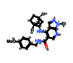 CCn1ncc2c(N[C@@H]3C[C@@H]4CC[C@@H]3C4)c(C(=O)NCc3ccc(OC)cc3)cnc21